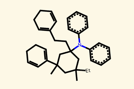 CCC1(C)CC(C)(C2=CCCC=C2)CC(CCC2=CCCC=C2)(N(c2ccccc2)c2ccccc2)C1